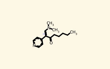 CCCCCC(=O)/C(=C\N(C)C)c1ccncc1